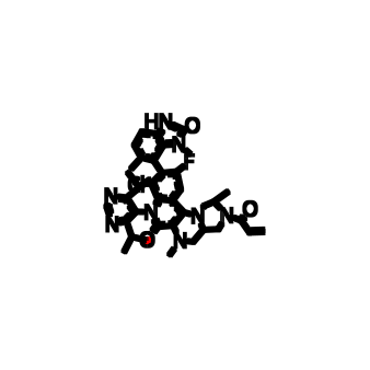 C=CC(=O)N1CC2CN(C)c3c(c4cc(F)c(-c5c(C)ccc6[nH]c(=O)n(C)c56)c(Cl)c4n(-c4c(C(C)C)ncnc4C(C)C)c3=O)N2CC1C